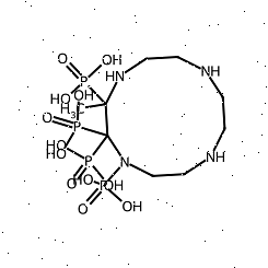 CC1(P(=O)(O)O)NCCNCCNCCN(P(=O)(O)O)C1(P(=O)(O)O)P(=O)(O)O